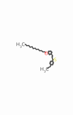 CCCCCCCCCCCCCCOc1cccc(C=CC(=S)c2ccc(CCC)cc2)c1